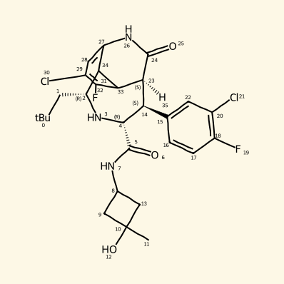 CC(C)(C)C[C@H]1N[C@@H](C(=O)NC2CC(C)(O)C2)[C@H](c2ccc(F)c(Cl)c2)[C@@H]2C(=O)NC3=CC(Cl)=C(F)C2C31